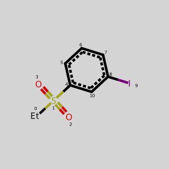 CCS(=O)(=O)c1cccc(I)c1